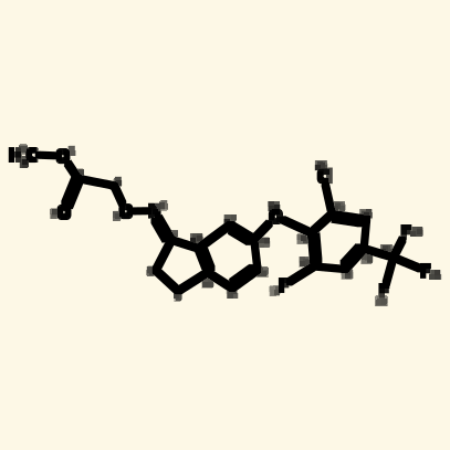 COC(=O)CO/N=C1\CCc2ccc(Oc3c(F)cc(C(F)(F)F)cc3Cl)cc21